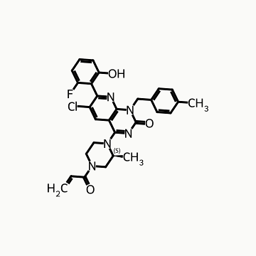 C=CC(=O)N1CCN(c2nc(=O)n(Cc3ccc(C)cc3)c3nc(-c4c(O)cccc4F)c(Cl)cc23)[C@@H](C)C1